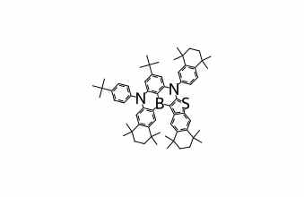 CC(C)(C)c1ccc(N2c3cc4c(cc3B3c5c2cc(C(C)(C)C)cc5N(c2ccc5c(c2)C(C)(C)CCC5(C)C)c2sc5cc6c(cc5c23)C(C)(C)CCC6(C)C)C(C)(C)CCC4(C)C)cc1